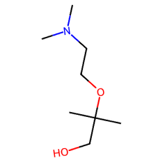 CN(C)CCOC(C)(C)CO